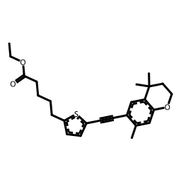 CCOC(=O)CCCCc1ccc(C#Cc2cc3c(cc2C)OCCC3(C)C)s1